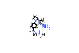 C[C@@H](NC(=O)O)c1ccc(N2CCC[C@@H]2c2csc(N)n2)cc1